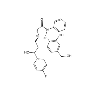 O=C1O[C@H](CCC(O)c2ccc(F)cc2)[C@@H](c2ccc(CO)cc2O)N1c1ccccc1